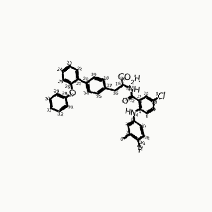 Cc1cc(Nc2ccc(Cl)cc2C(=O)N[C@@H](Cc2ccc(-c3ccccc3Oc3ccccc3)cc2)C(=O)O)ccc1F